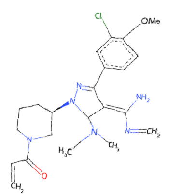 C=CC(=O)N1CCC[C@@H](N2N=C(c3ccc(OC)c(Cl)c3)/C(=C(\N)N=C)C2N(C)C)C1